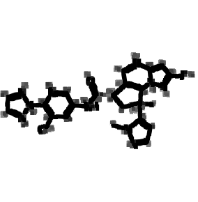 Cn1nccc1[C@]1(C)C[C@H](C(=O)Nc2cnc(-n3nccn3)c(Cl)c2)c2cnc3cc(F)nn3c21